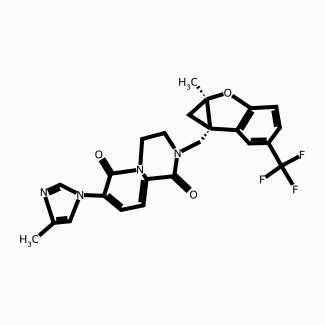 Cc1cn(-c2ccc3n(c2=O)CCN(C[C@]24C[C@@]2(C)Oc2ccc(C(F)(F)F)cc24)C3=O)cn1